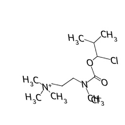 CC(C)C(Cl)OC(=O)N(C)CCC[N+](C)(C)C.[Cl-]